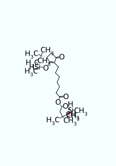 C[SiH](C)OC1=C(CCCCCCC(=O)OC(CC(C)(C)C)O[SiH](C)C)C(=O)C[C@H]1C(C)(C)C